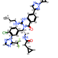 CC(C)(C)CCNC(=N)N(C(=O)c1ccc(-c2cnn(C3CC3)n2)cc1)[C@H](CNC(=O)CC1CC1)c1ccc(Cl)c(-n2ncnc2C(F)F)c1